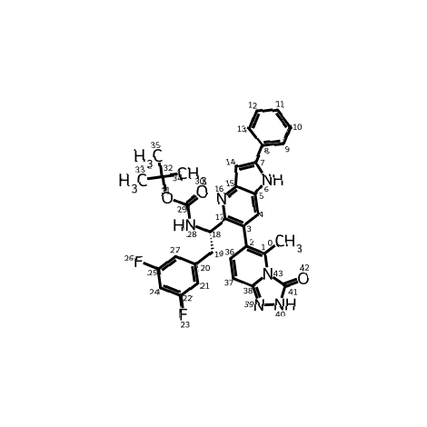 Cc1c(-c2cc3[nH]c(-c4ccccc4)cc3nc2[C@H](Cc2cc(F)cc(F)c2)NC(=O)OC(C)(C)C)ccc2n[nH]c(=O)n12